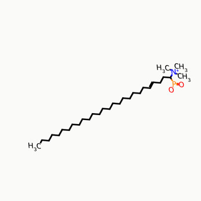 CCCCCCCCCCCCCCCCCCCCCCC=CCCC(P(=O)=O)[N+](C)(C)C